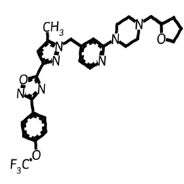 Cc1cc(-c2nc(-c3ccc(OC(F)(F)F)cc3)no2)nn1Cc1ccnc(N2CCN(CC3CCCO3)CC2)c1